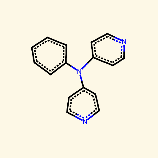 c1ccc(N(c2ccncc2)c2ccncc2)cc1